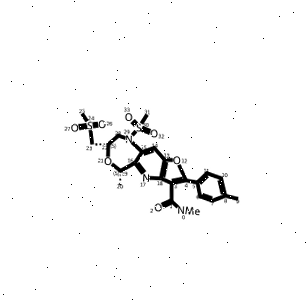 CNC(=O)c1c(-c2ccc(C)cc2)oc2cc3c(nc12)[C@H](C)O[C@H](CS(C)(=O)=O)CN3S(C)(=O)=O